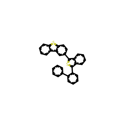 c1ccc(-c2ccccc2-c2sc(-c3ccc4sc5ccccc5c4c3)c3ccccc23)cc1